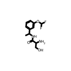 CC(NC(=O)C(N)CO)c1cccc(OC(F)F)c1